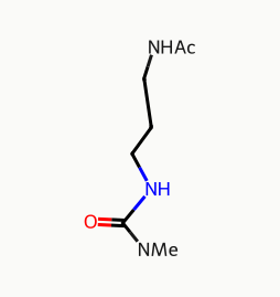 CNC(=O)NCCCNC(C)=O